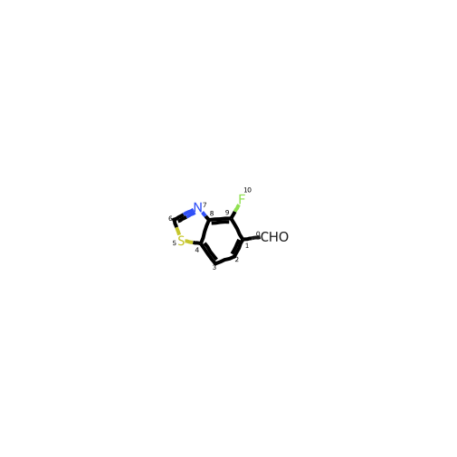 O=Cc1ccc2scnc2c1F